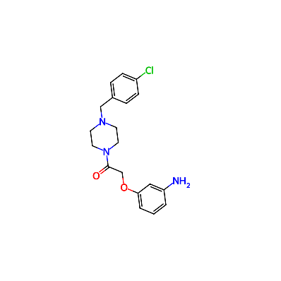 Nc1cccc(OCC(=O)N2CCN(Cc3ccc(Cl)cc3)CC2)c1